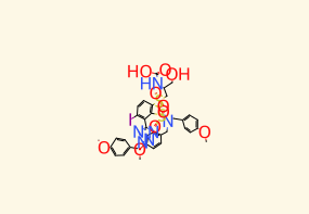 COc1ccc(CN(Cc2ccc(OC)cc2)S(=O)(=O)c2c(S(=O)(=O)CC(CO)NC(=O)O)ccc(I)c2-c2nnn(Cc3ccc(OC)cc3)n2)cc1